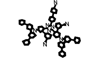 N#Cc1ccc(-c2ccc(-c3nc(-c4ccc(-n5c6ccc(-c7ccccc7)cc6c6cc(-c7ccccc7)ccc65)cc4-c4cccc(C#N)c4)nc(-c4ccc(-n5c6ccc(-c7ccccc7)cc6c6cc(-c7ccccc7)ccc65)cc4-c4cccc(C#N)c4)n3)cc2)cc1